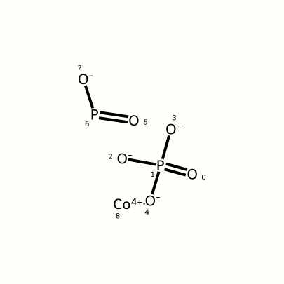 O=P([O-])([O-])[O-].O=P[O-].[Co+4]